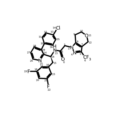 O=C(Cn1nc(C(F)(F)F)c2c1CCOC2)N[C@@H](Cc1cc(F)cc(F)c1)c1ncccc1-c1ccc(Cl)cc1